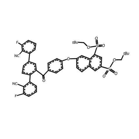 CC(C)(C)COS(=O)(=O)c1cc(S(=O)(=O)OCC(C)(C)C)c2cc(Oc3ccc(C(=O)c4cc(-c5cccc(F)c5C#N)ccc4-c4cccc(F)c4C#N)cc3)ccc2c1